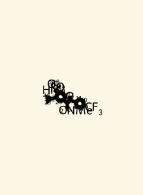 CNC(=O)c1c(-c2ccc(C(F)(F)F)cc2)oc2cc(NS(C)(=O)=O)c(C3CC3)cc12